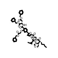 CCCCC[C@@H](C(=O)NCNC(=O)c1ccc(-c2ccc(C(=O)N[C@@H](CC(=O)OCc3ccccc3)C(=O)OCc3ccccc3)c(OCC(=O)OCc3ccccc3)c2)o1)[C@@H](CC)N(C=O)OC(=O)C1CC1C